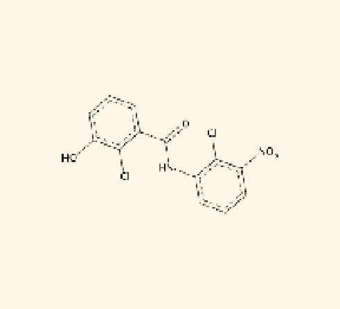 O=C(Nc1cccc([N+](=O)[O-])c1Cl)c1cccc(O)c1Cl